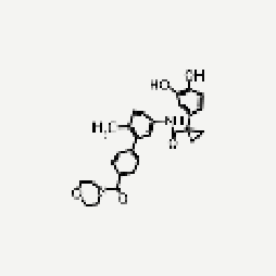 Cc1ccc(NC(=O)C2(c3ccc(O)c(O)c3)CC2)cc1-c1ccc(C(=O)N2CCOCC2)cc1